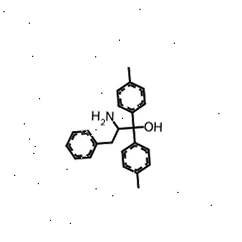 Cc1ccc(C(O)(c2ccc(C)cc2)C(N)Cc2ccccc2)cc1